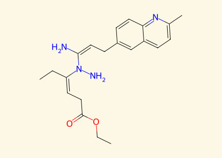 CCOC(=O)C/C=C(/CC)N(N)/C(N)=C\Cc1ccc2nc(C)ccc2c1